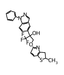 CC1Cc2nc(OCC(O)(c3ccc4c(cnn4-c4ccccc4)c3)C(F)(F)F)ccc2S1